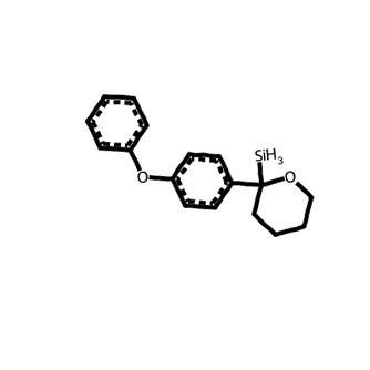 [SiH3]C1(c2ccc(Oc3ccccc3)cc2)CCCCO1